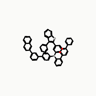 c1ccc(-c2ccc(-c3ccccc3N(c3ccc(-c4cccc(-c5ccc6ccccc6c5)c4)cc3)c3cccc(-c4oc5ccccc5c4-c4ccccc4)c3)cc2)cc1